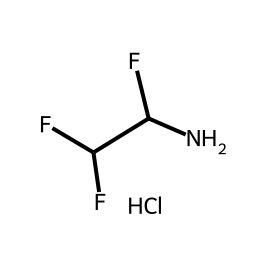 Cl.NC(F)C(F)F